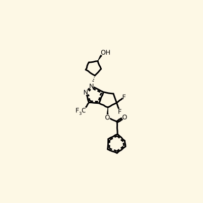 O=C(O[C@H]1c2c(C(F)(F)F)nn([C@@H]3CC[C@@H](O)C3)c2CC1(F)F)c1ccccc1